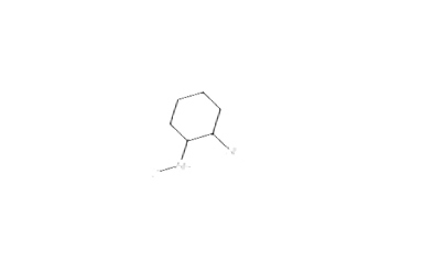 BNC1CCCCC1N